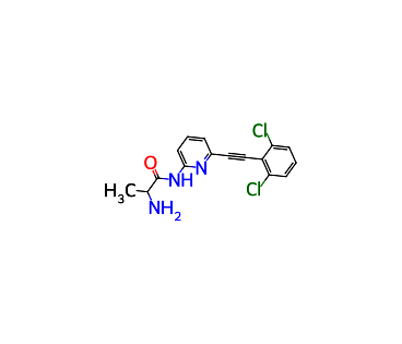 CC(N)C(=O)Nc1cccc(C#Cc2c(Cl)cccc2Cl)n1